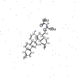 CC1C=Cc2c(ccc3c2ccc2cc(F)ccc23)C2=C1CC(=CO/C(=C\C(=O)C(C)(C)C)C(C)(C)C)c1ccc(F)cc12